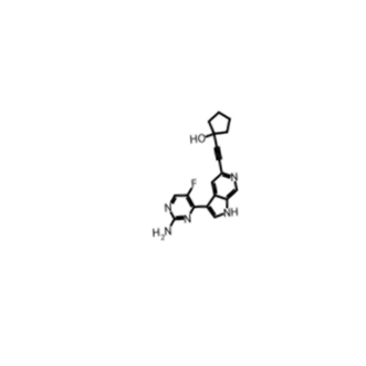 Nc1ncc(F)c(-c2c[nH]c3cnc(C#CC4(O)CCCC4)cc23)n1